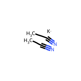 CC#N.CC#N.[K]